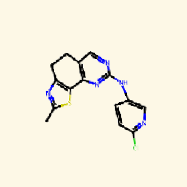 Cc1nc2c(s1)-c1nc(Nc3ccc(Cl)nc3)ncc1CC2